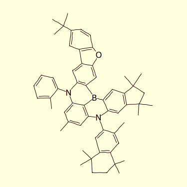 Cc1cc2c3c(c1)N(c1ccccc1C)c1cc4c(cc1B3c1cc3c(cc1N2c1cc2c(cc1C)C(C)(C)CCC2(C)C)C(C)(C)CC3(C)C)oc1ccc(C(C)(C)C)cc14